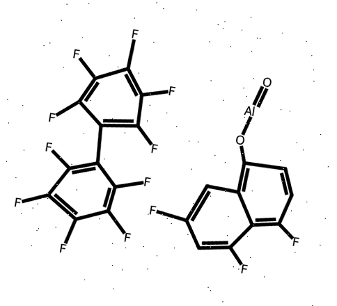 Fc1c(F)c(F)c(-c2c(F)c(F)c(F)c(F)c2F)c(F)c1F.[O]=[Al][O]c1ccc(F)c2c(F)cc(F)cc12